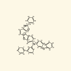 c1ccc(-c2cccc(N(c3ccc4c(c3)oc3ccccc34)c3ccc4c(c3)oc3ccc5nc(-c6ccccc6)oc5c34)c2)cc1